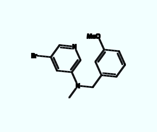 COc1cccc(CN(C)c2cncc(Br)c2)c1